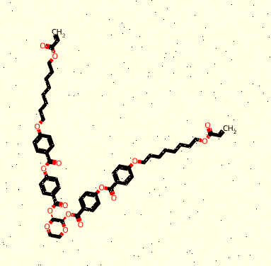 C=CC(=O)OCCCCCCCCOc1ccc(C(=O)Oc2ccc(C(=O)O[C@H]3OCCO[C@@H]3OC(=O)c3ccc(OC(=O)c4ccc(OCCCCCCCCOC(=O)C=C)cc4)cc3)cc2)cc1